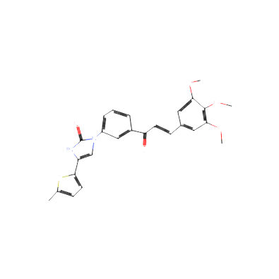 COc1cc(C=CC(=O)c2cccc(-n3cc(-c4ccc(C)s4)[nH]c3=O)c2)cc(OC)c1OC